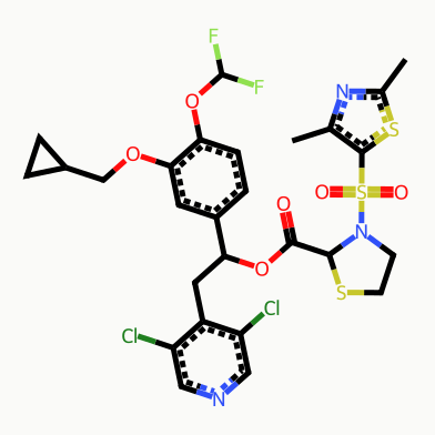 Cc1nc(C)c(S(=O)(=O)N2CCSC2C(=O)OC(Cc2c(Cl)cncc2Cl)c2ccc(OC(F)F)c(OCC3CC3)c2)s1